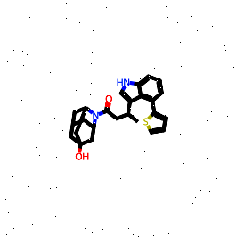 CC(CC(=O)N1C2CC3CC1CC(O)(C3)C2)c1c[nH]c2cccc(-c3cccs3)c12